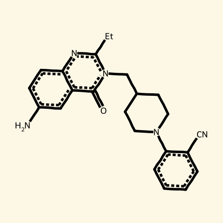 CCc1nc2ccc(N)cc2c(=O)n1CC1CCN(c2ccccc2C#N)CC1